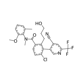 COc1cccc(C)c1N(C)C(=O)c1ccc(Cl)c(-c2cnc(C(F)(F)F)cc2C#N)c1CCCO